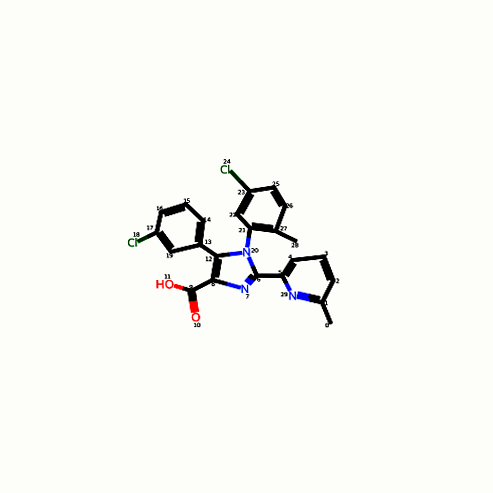 Cc1cccc(-c2nc(C(=O)O)c(-c3cccc(Cl)c3)n2-c2cc(Cl)ccc2C)n1